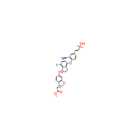 COC(=O)C[C@@H]1COc2cc(O[C@@H]3CCc4c(Oc5ccc(C=CC(C)(C)O)cc5C#N)ccc(F)c43)ccc21